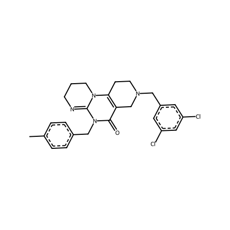 Cc1ccc(CN2C(=O)C3=C(CCN(Cc4cc(Cl)cc(Cl)c4)C3)N3CCCN=C23)cc1